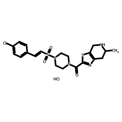 CC1Cc2nc(C(=O)N3CCN(S(=O)(=O)/C=C/c4ccc(Cl)cc4)CC3)sc2CN1.Cl